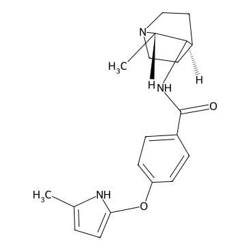 Cc1ccc(Oc2ccc(C(=O)N[C@@H]3C4CCN(CC4)[C@H]3C)cc2)[nH]1